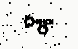 N#Cc1ccccc1Nc1cncnc1